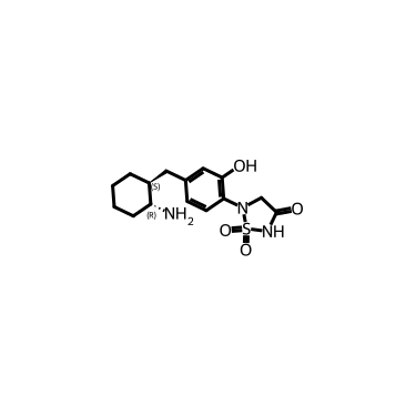 N[C@@H]1CCCC[C@H]1Cc1ccc(N2CC(=O)NS2(=O)=O)c(O)c1